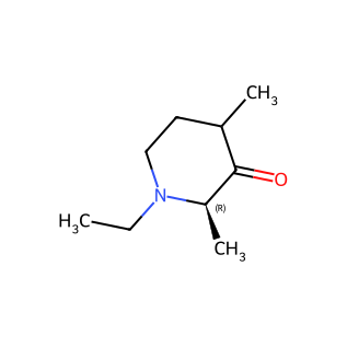 CCN1CCC(C)C(=O)[C@H]1C